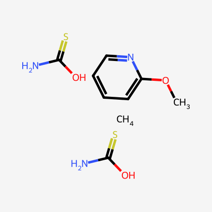 C.COc1ccccn1.NC(O)=S.NC(O)=S